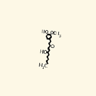 CCCCCCC(O)/C=C/C(=O)CCc1ccc(O)c(OC)c1